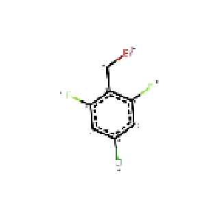 Fc1cc(Cl)cc(F)c1CBr